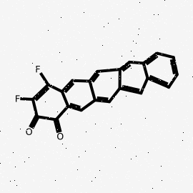 O=C1C(=O)c2cc3cc4cc5ccccc5cc4cc3cc2C(F)=C1F